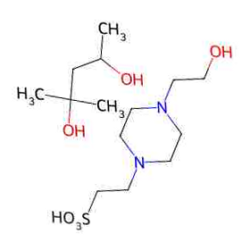 CC(O)CC(C)(C)O.O=S(=O)(O)CCN1CCN(CCO)CC1